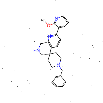 CCOc1ncccc1-c1ccc2c(n1)CNCC21CCN(Cc2ccccc2)CC1